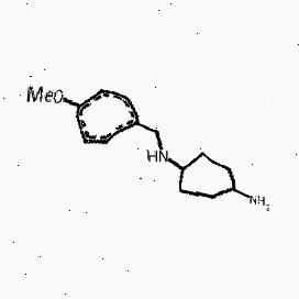 COc1ccc(CNC2CCC(N)CC2)cc1